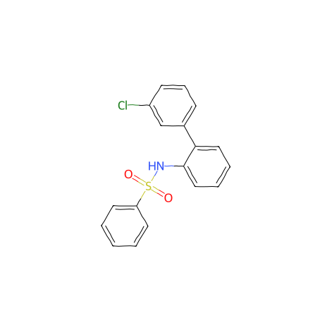 O=S(=O)(Nc1ccccc1-c1cccc(Cl)c1)c1ccccc1